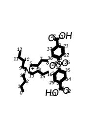 CCCC[N+](CCCC)(CCCC)CCCC.O=C(O)c1ccc(S(=O)(=O)c2ccc(C(=O)O)cc2)cc1